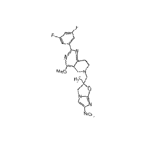 COc1nc(-c2cc(F)cc(F)c2)nc2c1CN(CC1(C)Cn3cc([N+](=O)[O-])nc3O1)CC2